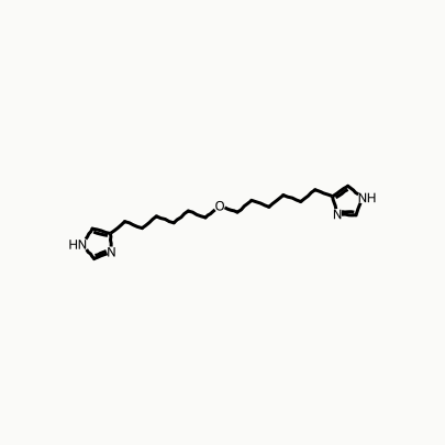 c1nc(CCCCCCOCCCCCCc2c[nH]cn2)c[nH]1